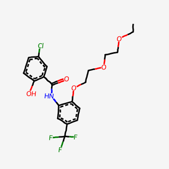 CCOCCOCCOc1ccc(C(F)(F)F)cc1NC(=O)c1cc(Cl)ccc1O